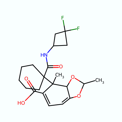 CC1OC2=CC=C(C(=O)O)C(C)(C3(C(=O)NC4CC(F)(F)C4)CCCCC3)C2O1